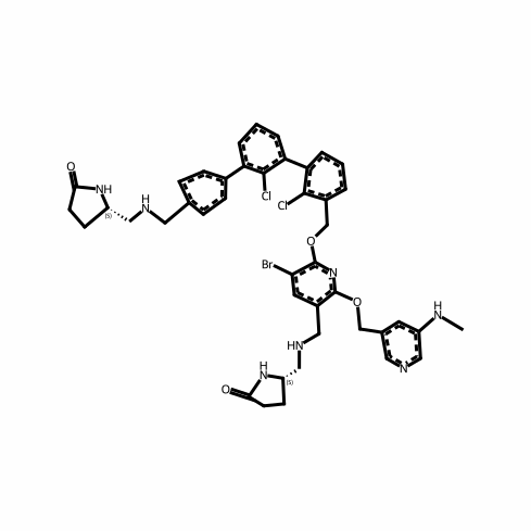 CNc1cncc(COc2nc(OCc3cccc(-c4cccc(-c5ccc(CNC[C@@H]6CCC(=O)N6)cc5)c4Cl)c3Cl)c(Br)cc2CNC[C@@H]2CCC(=O)N2)c1